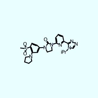 CC(C)n1cnnc1-c1cccc(N2CCN(c3ccc(S(C)(=O)=O)c(N4CCCC4)c3)C2=O)n1